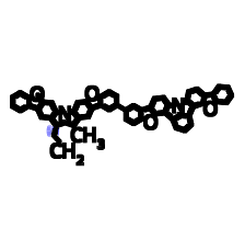 C=C/C=c1/c2cc3c(cc2n2c1c(C)c1cc4c(cc12)oc1ccc(-c2ccc5oc6c(ccc7c6c6cccc8c9c%10oc%11ccccc%11c%10ccc9n7c86)c5c2)cc14)oc1ccccc13